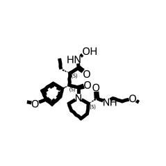 CC[C@H](C(=O)NO)[C@H](C(=O)N1CCCC[C@H]1C(=O)NCCOC)c1ccc(OC)cc1